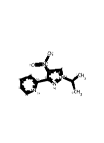 CC(C)n1cc([N+](=O)[O-])c(-c2ccccn2)n1